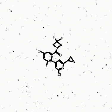 O=C(c1cc(Cl)cc(F)c1-c1cc(Cl)nc(C2CC2)c1)N1CC(F)(F)C1